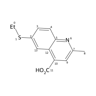 CCSc1ccc2nc(C)cc(C(=O)O)c2c1